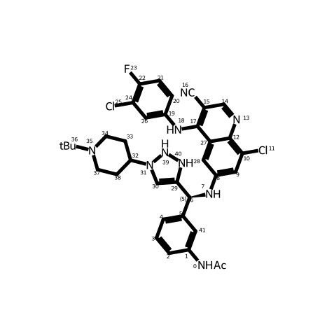 CC(=O)Nc1cccc([C@H](Nc2cc(Cl)c3ncc(C#N)c(Nc4ccc(F)c(Cl)c4)c3c2)C2=CN(C3CCN(C(C)(C)C)CC3)NN2)c1